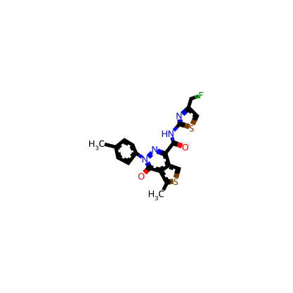 Cc1ccc(-n2nc(C(=O)Nc3nc(CF)cs3)c3csc(C)c3c2=O)cc1